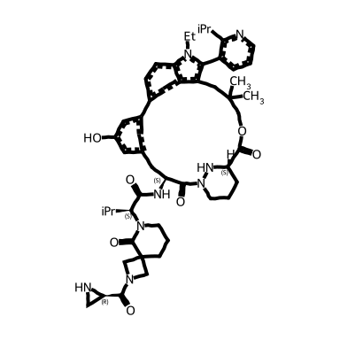 CCn1c(-c2cccnc2C(C)C)c2c3cc(ccc31)-c1cc(O)cc(c1)C[C@H](NC(=O)[C@H](C(C)C)N1CCCC3(CN(C(=O)[C@H]4CN4)C3)C1=O)C(=O)N1CCC[C@H](N1)C(=O)OCC(C)(C)C2